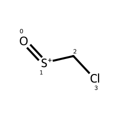 O=[S+]CCl